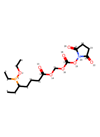 CCOP(CC)C(CC)CCCC(=O)OCOC(=O)ON1C(=O)CCC1=O